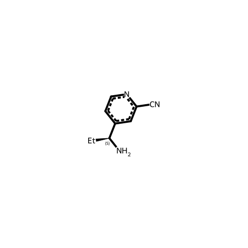 CC[C@H](N)c1ccnc(C#N)c1